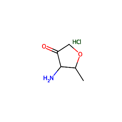 CC1OCC(=O)C1N.Cl